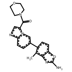 Cc1c(-c2ccc3ncc(C(=O)N4CCOCC4)n3c2)ccc2oc(N)nc12